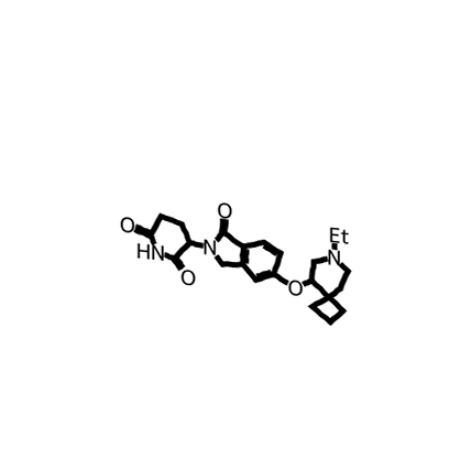 CCN1CCC2(CCC2)C(Oc2ccc3c(c2)CN(C2CCC(=O)NC2=O)C3=O)C1